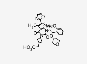 COc1ccccc1[C@H](Cn1c(=O)n(C2CC(CC(=O)O)C2)c(=O)c2c(C)c(-c3ncco3)sc21)OC1CCOCC1